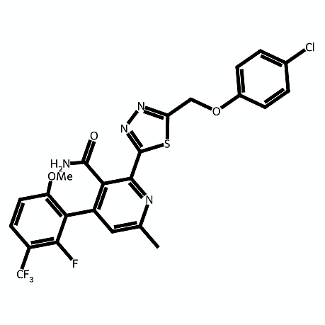 COc1ccc(C(F)(F)F)c(F)c1-c1cc(C)nc(-c2nnc(COc3ccc(Cl)cc3)s2)c1C(N)=O